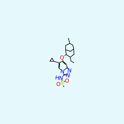 CCC1CC2CC(C)CC(C2)C1Oc1cc2nnc(NS(C)(=O)=O)n2cc1C1CC1